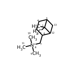 CC1(C)C2CCC(C[N+](C)(C)C)C1C2